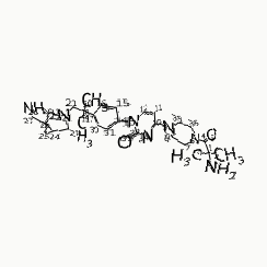 CC(C)(N)C(=O)N1CCN(c2ccn(-c3ccc(C(C)(C)CN4CC5CC5(CN)C4)cc3)c(=O)n2)CC1